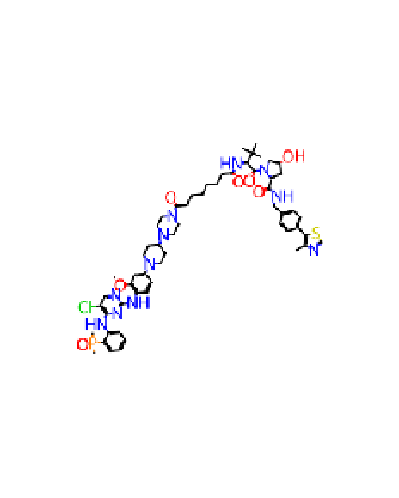 COc1cc(N2CCC(N3CCN(C(=O)CCCCCCC(=O)NC(C(=O)N4C[C@H](O)C[C@H]4C(=O)NCc4ccc(-c5scnc5C)cc4)C(C)(C)C)CC3)CC2)ccc1Nc1ncc(Cl)c(Nc2ccccc2P(C)(C)=O)n1